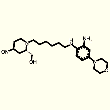 Nc1cc(N2CCOCC2)ccc1NCCCCCCN1CCC(N=O)C[C@H]1CO